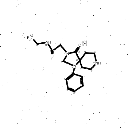 Cl.O=C(CN1CN(c2ccccc2)C2(CCNCC2)C1=O)NCC(F)(F)F